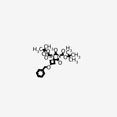 CC(C)(C)OC(=O)N1C(=O)N(C(=O)OC(C)(C)C)[C@]2(C[C@H](OCc3ccccc3)C2)C1=O